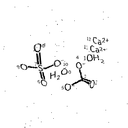 O.O.O=C([O-])[O-].O=S(=O)([O-])[O-].[Ca+2].[Ca+2]